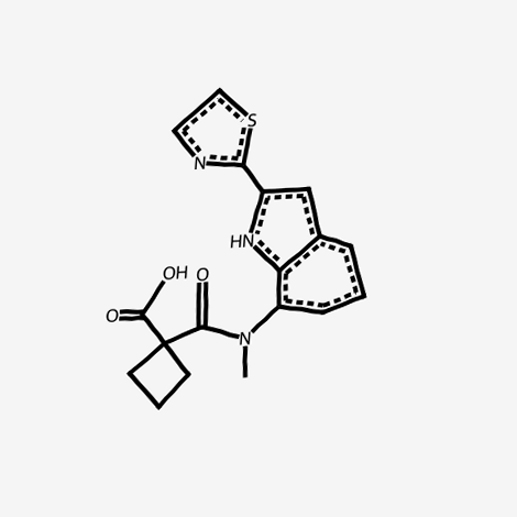 CN(C(=O)C1(C(=O)O)CCC1)c1cccc2cc(-c3nccs3)[nH]c12